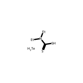 CCN(CC)C(=S)S.[TeH2]